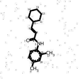 Cc1ccc(NC(=O)C=CC2CCCCC2)c(C)c1